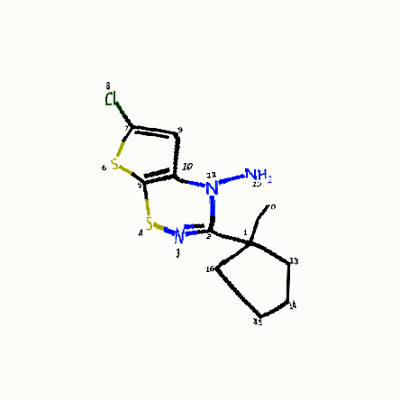 CC1(C2=NSc3sc(Cl)cc3N2N)CCCC1